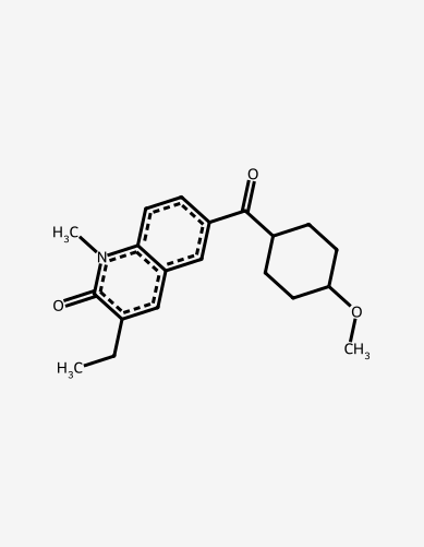 CCc1cc2cc(C(=O)C3CCC(OC)CC3)ccc2n(C)c1=O